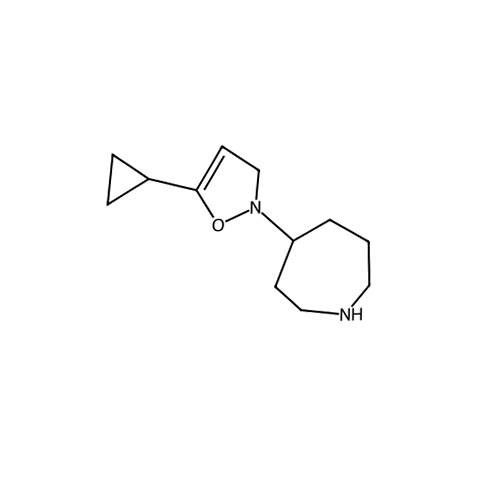 C1=C(C2CC2)ON(C2CCCNCC2)C1